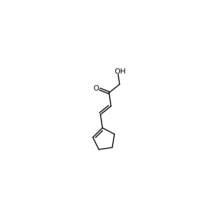 O=C(/C=C/C1=CCCC1)CO